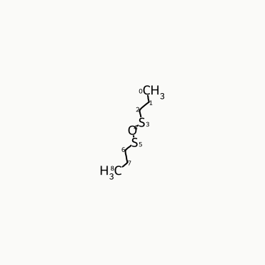 CCCSOSCCC